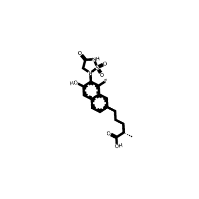 C[C@@H](CCCc1ccc2cc(O)c(N3CC(=O)NS3(=O)=O)c(F)c2c1)C(=O)O